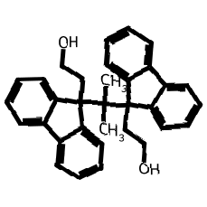 CC(C)(C1(CCO)c2ccccc2-c2ccccc21)C1(CCO)c2ccccc2-c2ccccc21